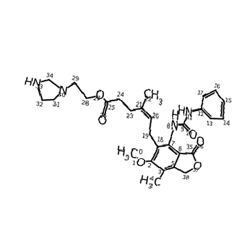 COc1c(C)c2c(c(NC(=O)Nc3ccccc3)c1CC=C(C)CCC(=O)OCCN1CCNC1)C(=O)OC2